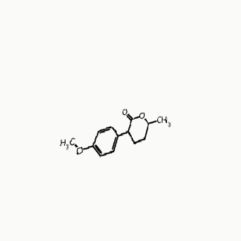 COc1ccc(C2CCC(C)OC2=O)cc1